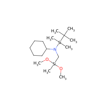 CO[Si](C)(CN(C1CCCCC1)[Si](C)(C)C(C)(C)C)OC